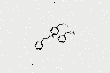 C=Cc1ccccc1.C=Cc1ccccc1.CC=Cc1ccccc1